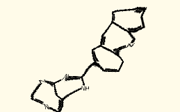 c1ccc2nc3ccc(-c4nc5ncncc5[nH]4)cc3cc2c1